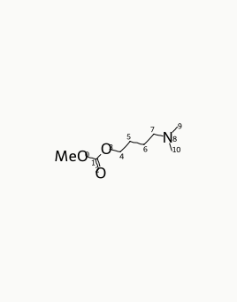 COC(=O)OCCCCN(C)C